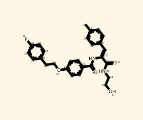 Cc1ccc(/C=C(\NC(=O)c2ccc(OCCc3ccc(F)cc3)cc2)C(=O)NCCO)cc1